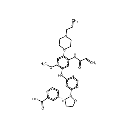 C=CCN1CCN(c2cc(OC)c(Nc3cc(N4OCC[C@@H]4c4cccc(C(=O)O)c4)ncn3)cc2NC(=O)C=C)CC1